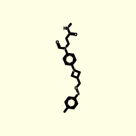 CNC(=O)CCN(C=O)c1ccc(N2CC(COSc3ccc(C)cc3)C2)cc1